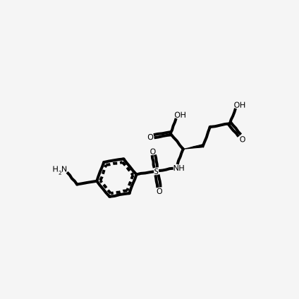 NCc1ccc(S(=O)(=O)N[C@H](CCC(=O)O)C(=O)O)cc1